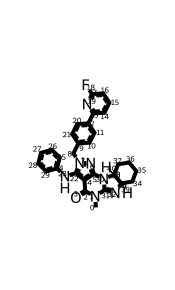 CN1C(=O)c2c(nn(Cc3ccc(-c4cccc(F)n4)cc3)c2Nc2ccccc2)N2C1=N[C@@H]1CCCC[C@@H]12